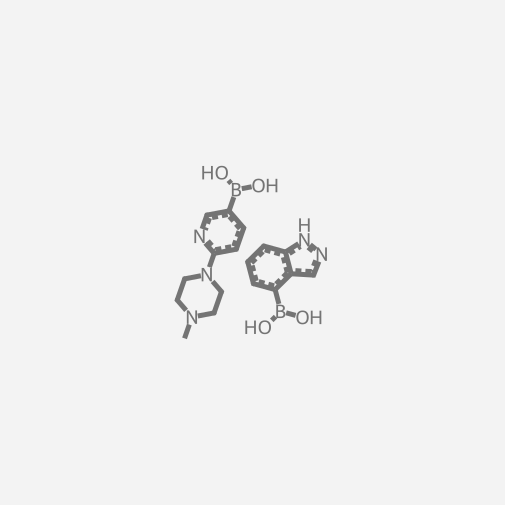 CN1CCN(c2ccc(B(O)O)cn2)CC1.OB(O)c1cccc2[nH]ncc12